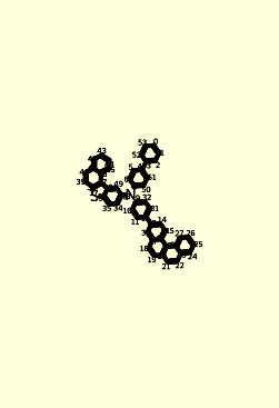 c1ccc(-c2ccc(N(c3ccc(-c4ccc5c(ccc6ccc7ccccc7c65)c4)cc3)c3ccc4sc5ccc6ccccc6c5c4c3)cc2)cc1